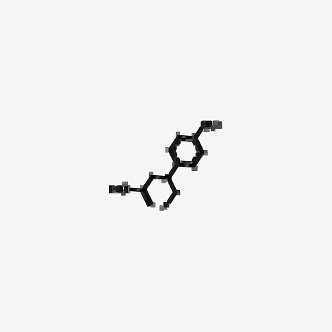 C=C(CN(CF)c1ccc(C(=O)OCC)cc1)C(=O)OCC